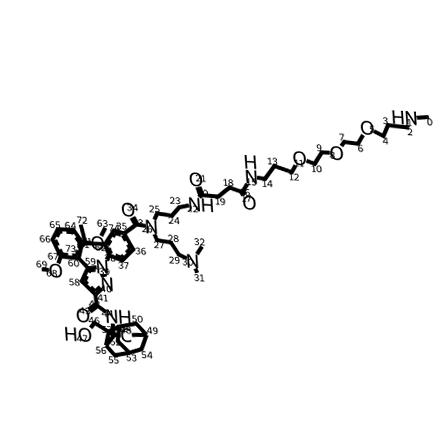 CNCCCOCCOCCOCCCNC(=O)CCC(=O)NCCCN(CCCN(C)C)C(=O)c1ccc(-n2nc(C(=O)NC3(CO)CC4CC5CC(C4)CC3C5)cc2-c2c(OC)cccc2OC)c(C(C)C)c1